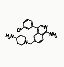 Nc1ncc(-c2cccc(Cl)c2)c2cc(CN3CCC(N)CC3)ccc12